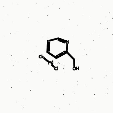 OCc1ccccn1.[Cl][Pd][Cl]